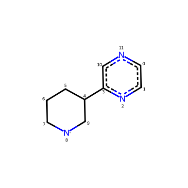 c1cnc(C2CCC[N]C2)cn1